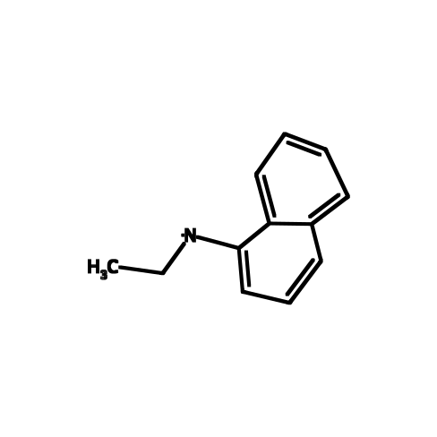 CC[N]c1cccc2ccccc12